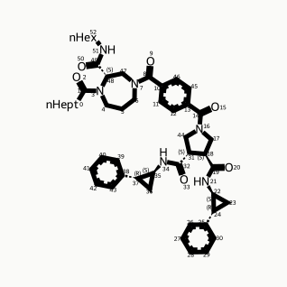 CCCCCCCC(=O)N1CCCN(C(=O)c2ccc(C(=O)N3C[C@@H](C(=O)N[C@H]4C[C@@H]4c4ccccc4)[C@H](C(=O)N[C@H]4C[C@@H]4c4ccccc4)C3)cc2)C[C@H]1C(=O)NCCCCCC